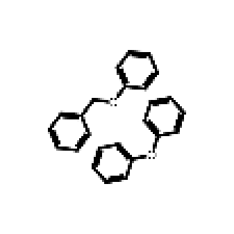 [c]1cccc(OCc2ccccc2)c1.[c]1cccc(Oc2ccccc2)c1